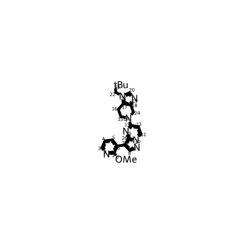 COc1ncccc1-c1cnn2ccc(N3CCc4c(ncn4CC(C)(C)C)C3)nc12